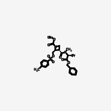 Cc1ccc(S(=O)(=O)OC[C@@H]2[C@@H](C(=O)N(C)[C@H](C(=O)OCc3ccccc3)C(C)C)CN2C(=O)OC(C)(C)C)cc1